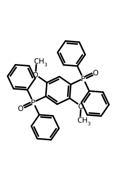 COc1cc(P(=O)(c2ccccc2)c2ccccc2)c(OC)cc1P(=O)(c1ccccc1)c1ccccc1